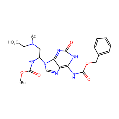 CC(=O)N(CC(=O)O)CC(NC(=O)OC(C)(C)C)n1cnc2c(NC(=O)OCc3ccccc3)[nH]c(=O)nc21